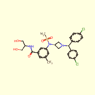 CS(=O)(=O)N(c1cc(C(=O)NC(CO)CO)cc(C(F)(F)F)c1)C1CN(C(c2ccc(Cl)cc2)c2ccc(Cl)cc2)C1